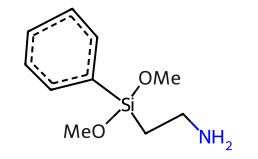 CO[Si](CCN)(OC)c1ccccc1